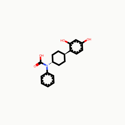 O=C(O)N(c1ccccc1)[C@H]1CC[C@H](c2ccc(O)cc2O)CC1